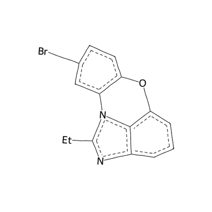 CCc1nc2cccc3c2n1-c1cc(Br)ccc1O3